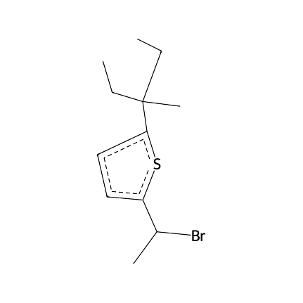 CCC(C)(CC)c1ccc(C(C)Br)s1